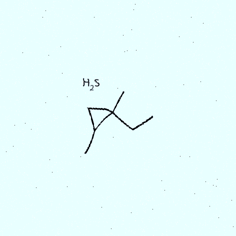 CCC1(C)CC1C.S